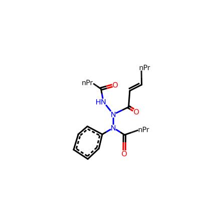 CCCC=CC(=O)N(NC(=O)CCC)N(C(=O)CCC)c1ccccc1